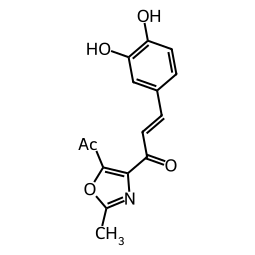 CC(=O)c1oc(C)nc1C(=O)C=Cc1ccc(O)c(O)c1